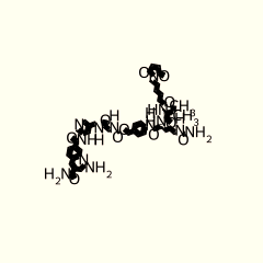 CC(C)[C@H](NC(=O)CCCCCN1C(=O)C=CC1=O)C(=O)N[C@@H](CCCNC(N)=O)C(=O)Nc1ccc(COC(=O)NCC(=O)NCc2cncc(NC(=O)c3ccc4c(c3)N=C(N)CC(C(N)=O)=C4)c2)cc1